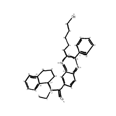 CCN(C(=O)c1ccc2nc(-c3ccccc3)c(CCCCCO)nc2c1)C1CCCc2ccccc21